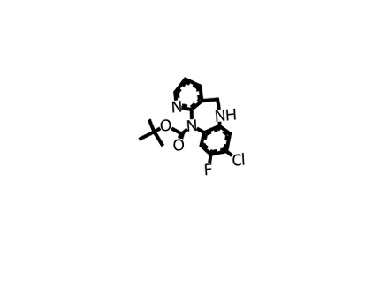 CC(C)(C)OC(=O)N1c2cc(F)c(Cl)cc2NCc2cccnc21